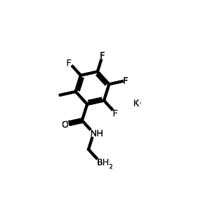 BCNC(=O)c1c(C)c(F)c(F)c(F)c1F.[K]